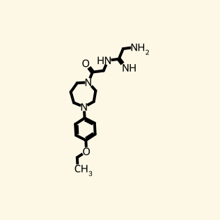 CCOc1ccc(N2CCCN(C(=O)CNC(=N)CN)CC2)cc1